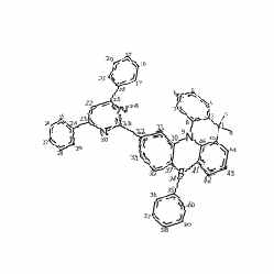 CC1(C)c2ccccc2N2c3cc(-c4nc(-c5ccccc5)cc(-c5ccccc5)n4)ccc3B(c3ccccc3)c3cccc1c32